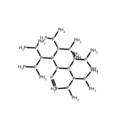 PP(P)P(P)P(P(P=S)P(P(P(P)P)P(P)P)P(P(P)P)P(P)P)P(P(P)P)P(P)P